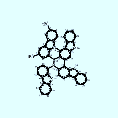 CC(C)(C)c1ccc2c(c1)c1cc(C(C)(C)C)cc3c1n2-c1c2c(cc4sc5ccccc5c14)-c1c(ccc4c1sc1ccccc14)N(c1cccc4c1sc1ccccc14)B23